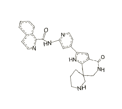 O=C1NCC2(CCCNC2)c2[nH]c(-c3ccnc(NC(=O)c4nccc5ccccc45)c3)cc21